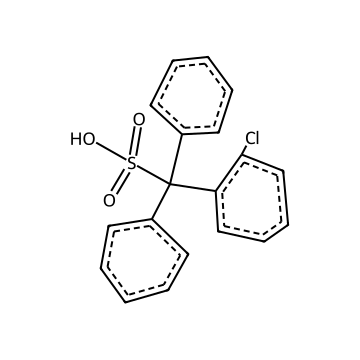 O=S(=O)(O)C(c1ccccc1)(c1ccccc1)c1ccccc1Cl